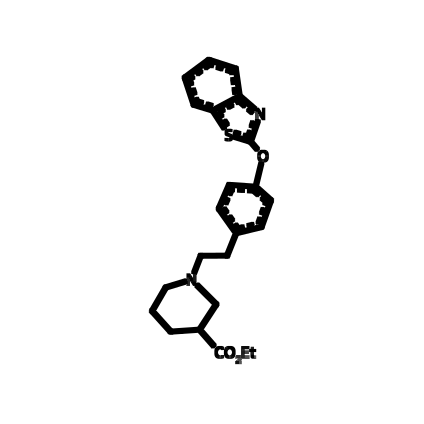 CCOC(=O)C1CCCN(CCc2ccc(Oc3nc4ccccc4s3)cc2)C1